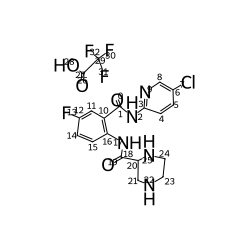 O=C(Nc1ccc(Cl)cn1)c1cc(F)ccc1NC(=O)C1CNCCN1.O=C(O)C(F)(F)F